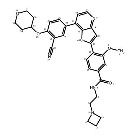 COc1cc(C(=O)NCCN2CCC2)ccc1-c1cc2nccc(-c3ccc(OC4CCOCC4)c(C#N)c3)c2o1